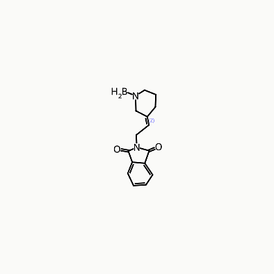 BN1CCC/C(=C/CN2C(=O)c3ccccc3C2=O)C1